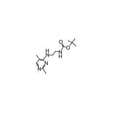 Cc1ncc(C)c(NCCNC(=O)OC(C)(C)C)n1